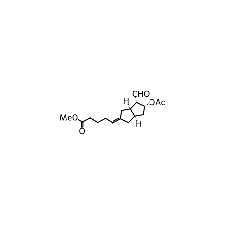 COC(=O)CCCC=C1C[C@@H]2C[C@@H](OC(C)=O)[C@@H](C=O)[C@@H]2C1